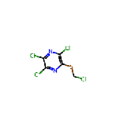 ClCSc1nc(Cl)c(Cl)nc1Cl